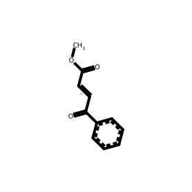 COC(=O)/C=C/C(=O)c1ccccc1